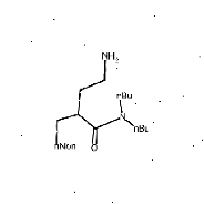 CCCCCCCCCCC(CCN)C(=O)N(CCCC)CCCC